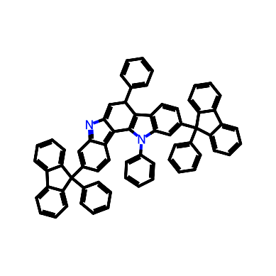 C1=C2N=c3cc(C4(c5ccccc5)c5ccccc5-c5ccccc54)ccc3=C2c2c(c3ccc(C4(c5ccccc5)c5ccccc5-c5ccccc54)cc3n2-c2ccccc2)C1c1ccccc1